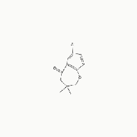 CCc1ccc2c(c1)C(=O)CC(C)(C)CO2